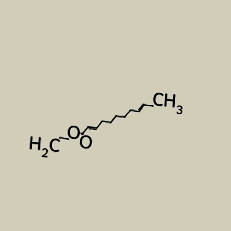 C=CCOC(=O)/C=C/CCCCC/C=C/CC